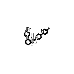 CC(C)N1CCN([C@H]2CCCC(F)(F)[C@@H]2NC(=O)N2CCC(c3ccc(F)cn3)CC2)CC1